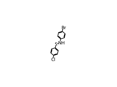 Clc1ccc(SNc2ccc(Br)cc2)cc1